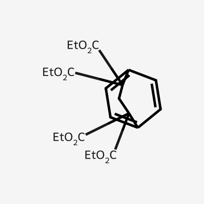 CCOC(=O)C1(C(=O)OCC)CC(C(=O)OCC)(C(=O)OCC)c2ccc1cc2